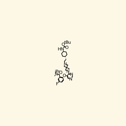 CC(C)N(C)C(=O)c1cc(F)ccc1Oc1cncnc1N1CC2(CN(CC[C@H]3CC[C@H](NC(=O)OC(C)(C)C)CC3)C2)C1